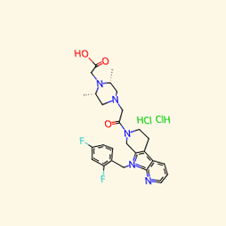 C[C@@H]1CN(CC(=O)N2CCc3c(n(Cc4ccc(F)cc4F)c4ncccc34)C2)C[C@H](C)N1CC(=O)O.Cl.Cl